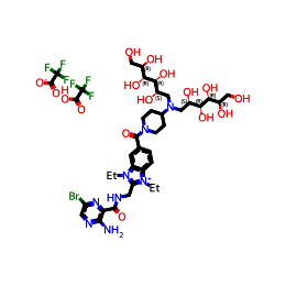 CCn1c(CNC(=O)c2nc(Br)cnc2N)[n+](CC)c2ccc(C(=O)N3CCC(N(C[C@H](O)[C@@H](O)[C@H](O)[C@H](O)CO)C[C@H](O)[C@@H](O)[C@H](O)[C@H](O)CO)CC3)cc21.O=C(O)C(F)(F)F.O=C([O-])C(F)(F)F